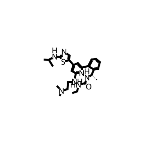 CCNC(=O)N[C@@H](C)c1ccccc1-c1cc(-c2cnc(NC(C)C)s2)cc(NCCN(C)C)n1